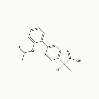 CC(=O)Nc1ccccc1-c1ccc(C(C)(Cl)C(=O)O)cc1